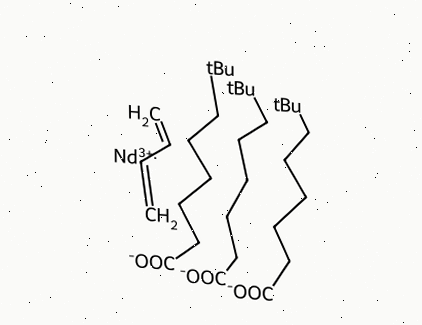 C=CC=C.CC(C)(C)CCCCCC(=O)[O-].CC(C)(C)CCCCCC(=O)[O-].CC(C)(C)CCCCCC(=O)[O-].[Nd+3]